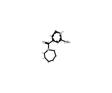 CC(C)(C)c1cc(C(=O)N2CCCCCC2)ccn1